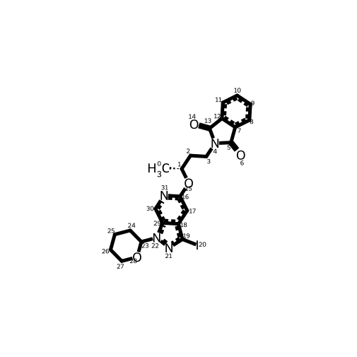 C[C@H](CCN1C(=O)c2ccccc2C1=O)Oc1cc2c(I)nn(C3CCCCO3)c2cn1